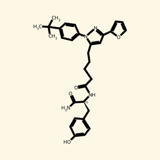 CC(C)(C)c1ccc(-n2nc(-c3ccco3)cc2CCCCC(=O)N[C@@H](Cc2ccc(O)cc2)C(N)=O)cc1